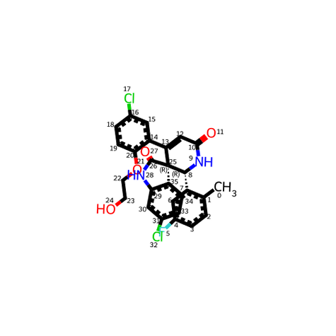 Cc1ccc(F)cc1[C@H]1NC(=O)C=C(c2cc(Cl)ccc2OCCO)[C@]12C(=O)Nc1cc(Cl)ccc12